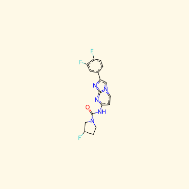 O=C(Nc1ccn2cc(-c3ccc(F)c(F)c3)nc2n1)N1CCC(F)C1